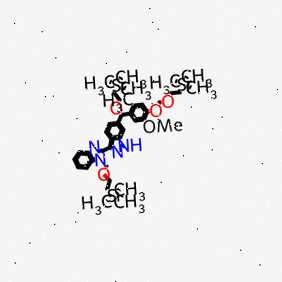 COc1cc(C(OCC[Si](C)(C)C)c2ccc3c(-c4nc5ccccc5n4COCC[Si](C)(C)C)n[nH]c3c2)c(C)cc1OCOCC[Si](C)(C)C